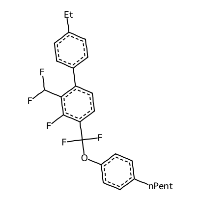 CCCCCc1ccc(OC(F)(F)c2ccc(-c3ccc(CC)cc3)c(C(F)F)c2F)cc1